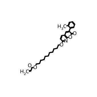 C=CC(=O)OCCCCCCCCCCCOc1ccc2cc(-c3ccccc3C)c(=O)oc2n1